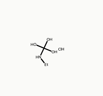 CCNC(O)(O)O.Cl